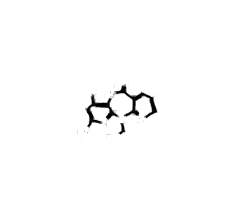 CCN1c2ncccc2C(=O)Nc2c(C)cc(N)nc21